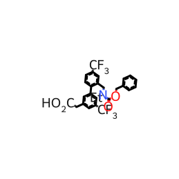 CCN(Cc1cc(C(F)(F)F)ccc1-c1cc(CC(=O)O)cc(C(F)(F)F)c1)C(=O)OCc1ccccc1